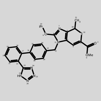 COC(=O)C1=Cc2c(nc(OC(C)C)n2Cc2ccc(-c3ccccc3-c3nnn[nH]3)cc2)C(C)S1